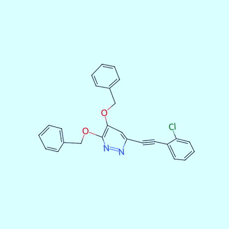 Clc1ccccc1C#Cc1cc(OCc2ccccc2)c(OCc2ccccc2)nn1